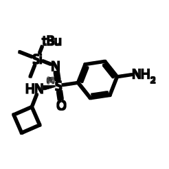 CC(C)(C)[Si](C)(C)N=[S@](=O)(NC1CCC1)c1ccc(N)cc1